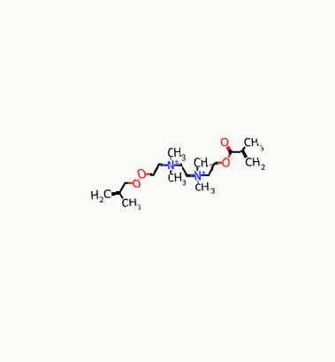 C=C(C)COOCC[N+](C)(C)CC[N+](C)(C)CCOC(=O)C(=C)C